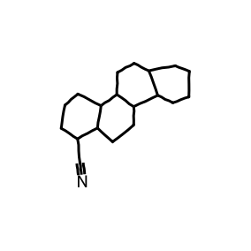 N#CC1CCCC2C1CCC1C3CCCCC3CCC21